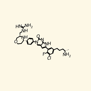 C[C@H](N)CCCc1cc(Cl)c(F)c(-c2cc3cn(-c4ccc([C@@H]5CCOC[C@@H](CNC(=N)N)N5)cc4)c(=O)nc3[nH]2)c1